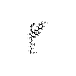 CCCOCCn1c(=O)c(NCCNCCCOC)nc2cnc(-c3ccc(OC)nc3)cc21